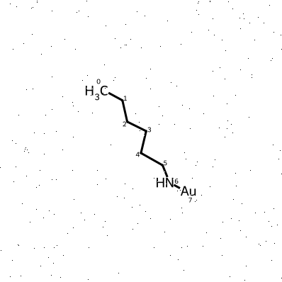 CCCCCC[NH][Au]